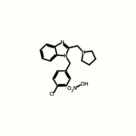 Clc1ccc(Cn2c(CN3CCCC3)nc3ccccc32)cc1.O=[N+]([O-])O